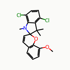 COc1cccc2c1OC1(C=C2)N(C)c2c(Cl)ccc(Cl)c2C1(C)C